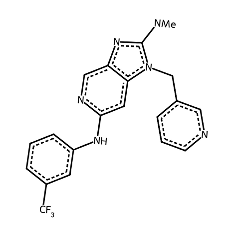 CNc1nc2cnc(Nc3cccc(C(F)(F)F)c3)cc2n1Cc1cccnc1